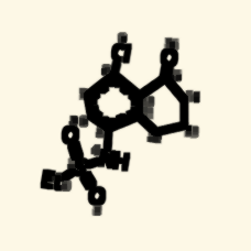 CCS(=O)(=O)Nc1ccc(Cl)c2c1CCCC2=O